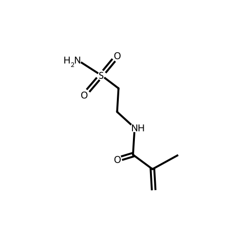 C=C(C)C(=O)NCCS(N)(=O)=O